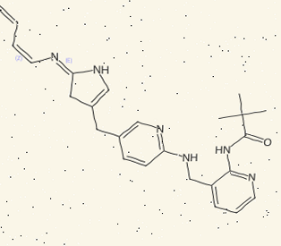 C=C/C=C\N=C1/CC(Cc2ccc(NCc3cccnc3NC(=O)C(C)(C)C)nc2)=CN1